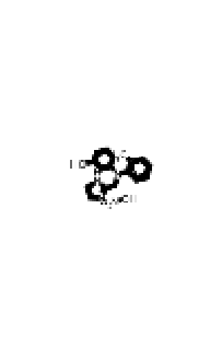 Cc1ccccc1N(CC1=NCCN1)c1cccc(O)c1.O=[N+]([O-])O